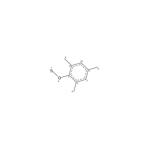 Cc1cc(C)c([O][Ti])c(C)c1